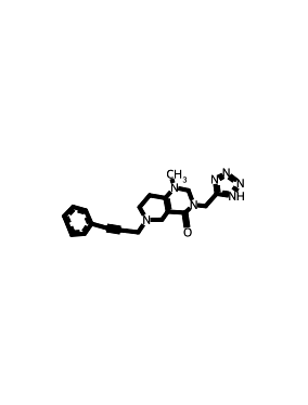 CN1CN(Cc2nnn[nH]2)C(=O)C2=C1CCN(CC#Cc1ccccc1)C2